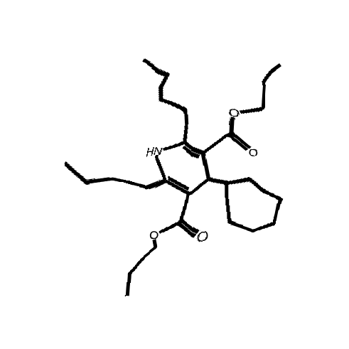 CCCCC1=C(C(=O)OCCC)C(C2CCCCC2)C(C(=O)OCCC)=C(CCCC)N1